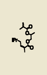 C=C(C)C(=O)OC(C)COC(=O)C(C)=CCC(C)C